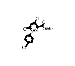 COC(=O)c1nn(-c2ccc(Cl)cc2)c(=O)cc1Cl